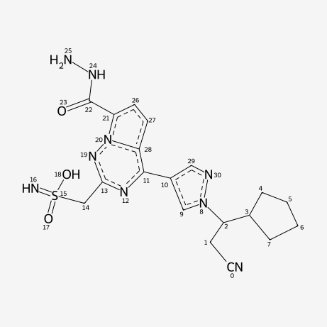 N#CCC(C1CCCC1)n1cc(-c2nc(CS(=N)(=O)O)nn3c(C(=O)NN)ccc23)cn1